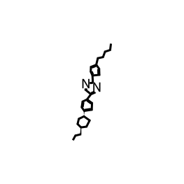 CCCCCc1ccc(-c2ncc(-c3ccc([C@H]4CC[C@H](CCC)CC4)cc3)cn2)cc1